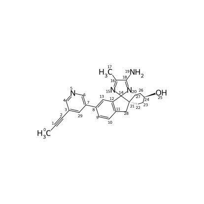 CC#Cc1cncc(-c2ccc3c(c2)C2(N=C(C)C(N)=N2)[C@]2(CC[C@H](O)CC2)C3)c1